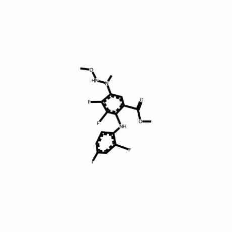 CONN(C)c1cc(C(=O)OC)c(Nc2ccc(I)cc2F)c(F)c1F